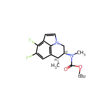 C[C@@H]1c2cc(F)c(F)c3ccn(c23)C[C@H]1N(C)C(=O)OC(C)(C)C